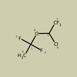 CC(F)(F)OC(Cl)C(F)(F)F